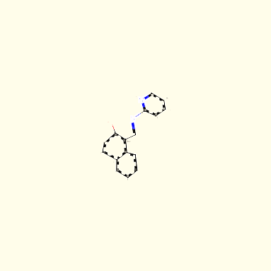 Oc1ccc2ccccc2c1C=Nc1ccccn1